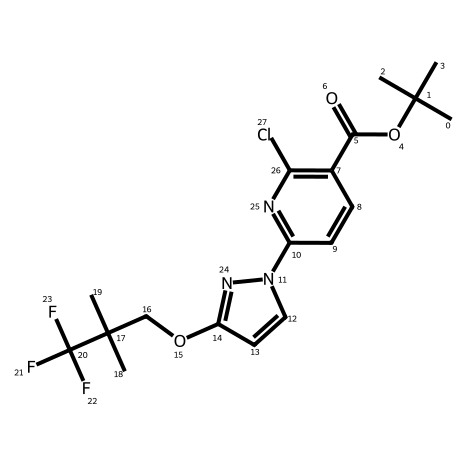 CC(C)(C)OC(=O)c1ccc(-n2ccc(OCC(C)(C)C(F)(F)F)n2)nc1Cl